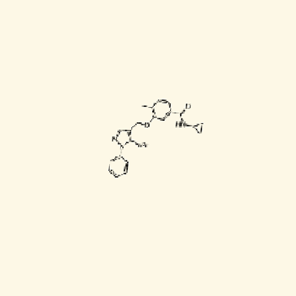 CCCc1c(COc2cc(C(=O)NC3CC3)ccc2C)cnn1-c1ccccc1